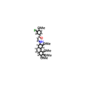 COc1ccc(C(=O)/C=C\Nc2cc(/C=C\c3cc(OC)c(OC)c(OC)c3)ccc2OC)cc1F